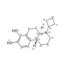 Oc1ccc2c(c1O)CC[C@@H]1[C@@H]2CCCN1C1CCC1